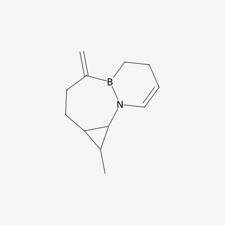 C=C1CCC2C(C)C2N2C=CCCB12